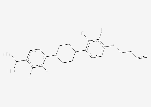 C=CCCOc1ccc(C2CCC(c3ccc(C(O)CCC)c(F)c3F)CC2)c(F)c1F